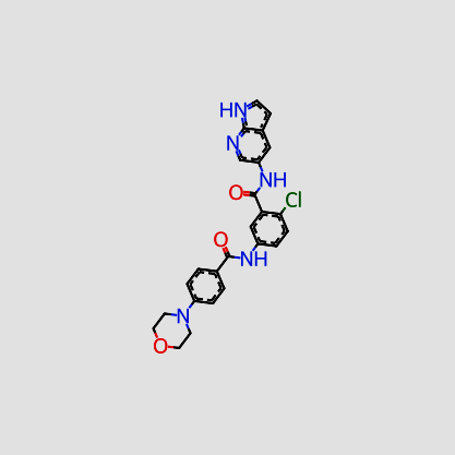 O=C(Nc1ccc(Cl)c(C(=O)Nc2cnc3[nH]ccc3c2)c1)c1ccc(N2CCOCC2)cc1